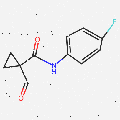 O=CC1(C(=O)Nc2ccc(F)cc2)CC1